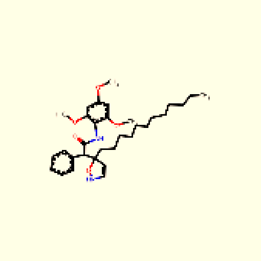 CCCCCCCCCCCCC1(C(C(=O)Nc2c(OC)cc(OC)cc2OC)c2ccccc2)C=CNO1